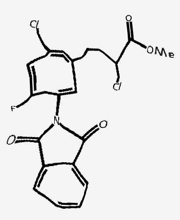 COC(=O)C(Cl)Cc1cc(N2C(=O)c3ccccc3C2=O)c(F)cc1Cl